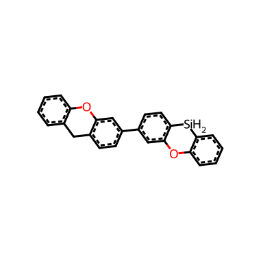 c1ccc2c(c1)Cc1ccc(-c3ccc4c(c3)Oc3ccccc3[SiH2]4)cc1O2